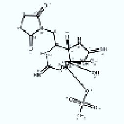 CS(=O)(=O)OC1CN2C(=N)NC(CN3C(=O)CCC3=O)[C@@H]3NC(=N)N[C@@]32C1(O)O